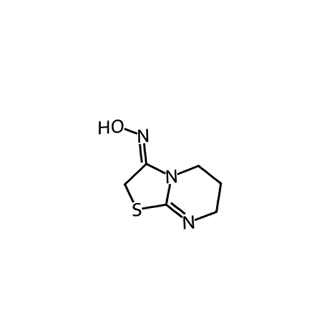 ON=C1CSC2=NCCCN12